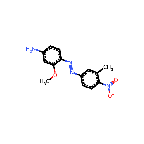 COc1cc(N)ccc1/N=N/c1ccc([N+](=O)[O-])c(C)c1